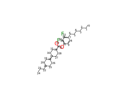 CCCCCCCc1ccc(OC(=O)C2CCC(C3CCC(CCC)CC3)CC2)c(F)c1F